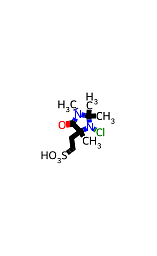 CN1C(=O)C(C)(CCS(=O)(=O)O)N(Cl)C1(C)C